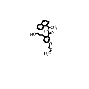 COCOc1ccc(CCCO)c(C(=O)NC(C)c2cccc3ccccc23)c1